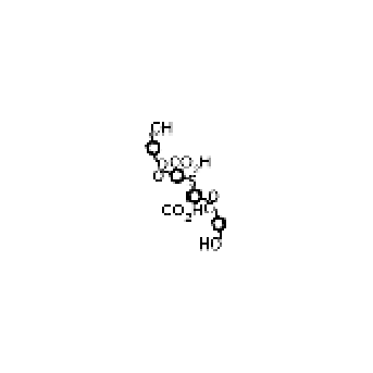 O=C(O)c1cc(Sc2ccc(C(=O)O)c(C(=O)OCc3ccc(CO)cc3)c2)ccc1C(=O)OCc1ccc(CO)cc1